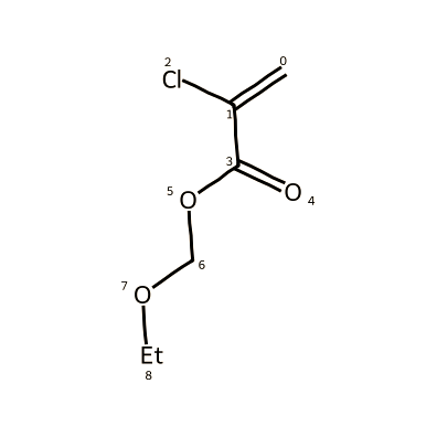 C=C(Cl)C(=O)OCOCC